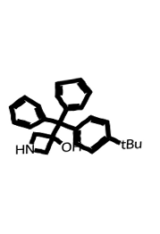 CC(C)(C)c1ccc(C(c2ccccc2)(c2ccccc2)C2(O)CNC2)cc1